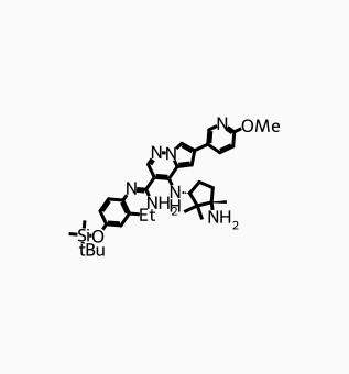 CCc1cc(O[Si](C)(C)C(C)(C)C)ccc1/N=C(\N)c1cnn2cc(-c3ccc(OC)nc3)cc2c1N[C@@H]1CC[C@](C)(N)C1(C)C